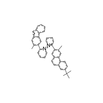 Cc1cc2c(ccc3cc(C(C)(C)C)ccc32)cc1-c1cccc[n+]1-[n+]1ccccc1-c1cc2c(cc1C)sc1ccccc12